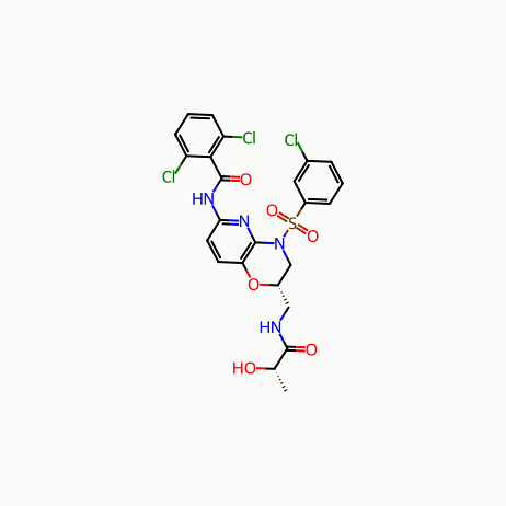 C[C@H](O)C(=O)NC[C@H]1CN(S(=O)(=O)c2cccc(Cl)c2)c2nc(NC(=O)c3c(Cl)cccc3Cl)ccc2O1